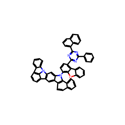 c1ccc(-c2nc(-c3cccc4ccccc34)nc(-c3ccc(-n4c5cc6c(cc5c5ccc7ccccc7c54)c4cccc5c7ccccc7n6c54)c4oc5ccccc5c34)n2)cc1